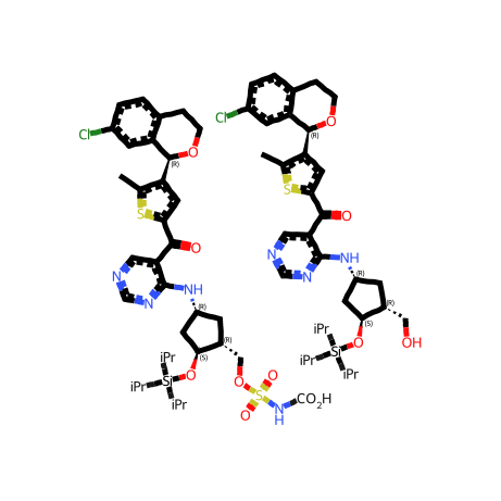 Cc1sc(C(=O)c2cncnc2N[C@@H]2C[C@H](CO)[C@@H](O[Si](C(C)C)(C(C)C)C(C)C)C2)cc1[C@@H]1OCCc2ccc(Cl)cc21.Cc1sc(C(=O)c2cncnc2N[C@@H]2C[C@H](COS(=O)(=O)NC(=O)O)[C@@H](O[Si](C(C)C)(C(C)C)C(C)C)C2)cc1[C@@H]1OCCc2ccc(Cl)cc21